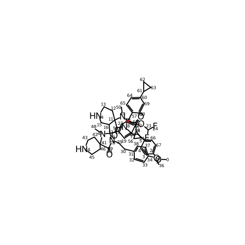 COc1ccc(CCN2C(=O)C3(CCNCC3C3(c4ccc(OC(F)F)cc4)N(CCc4ccc(OC)cc4)C(=O)C4(CCNCC4)N3C)N(C)C2(C(=O)C2CC2)c2ccc(C3CC3)cc2)cc1